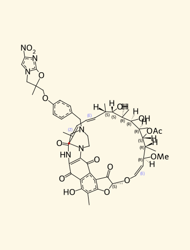 CO[C@H]1/C=C/O[C@@]2(C)Oc3c(C)c(O)c4c(c3C2=O)C(=O)C(N2CCN(Cc3ccc(OCC5(C)Cn6cc([N+](=O)[O-])nc6O5)cc3)CC2)=C(NC(=O)/C(C)=C\C=C\[C@H](C)[C@H](O)[C@@H](C)[C@@H](O)[C@@H](C)[C@H](OC(C)=O)[C@@H]1C)C4=O